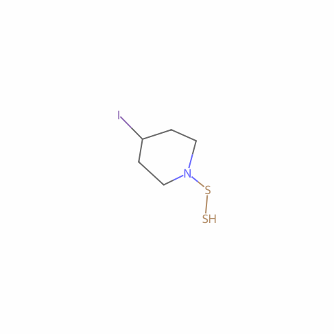 SSN1CCC(I)CC1